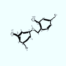 Fc1ccc(COc2cc(Cl)cc(Br)c2)c(Cl)c1